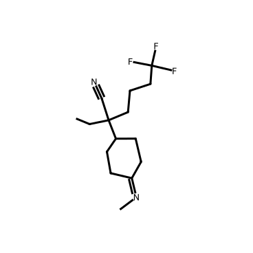 CCC(C#N)(CCCC(F)(F)F)C1CCC(=NC)CC1